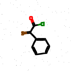 O=C(Cl)C(=S)c1ccccc1